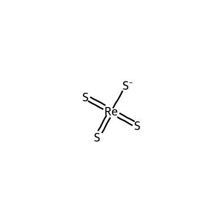 [S]=[Re](=[S])(=[S])[S-]